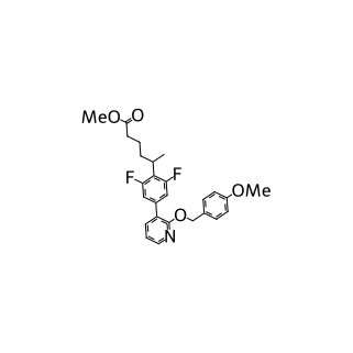 COC(=O)CCCC(C)c1c(F)cc(-c2cccnc2OCc2ccc(OC)cc2)cc1F